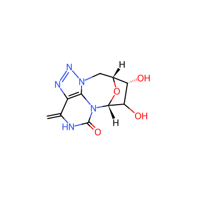 C=C1NC(=O)N2c3c1nnn3C[C@H]1O[C@@H]2C(O)[C@H]1O